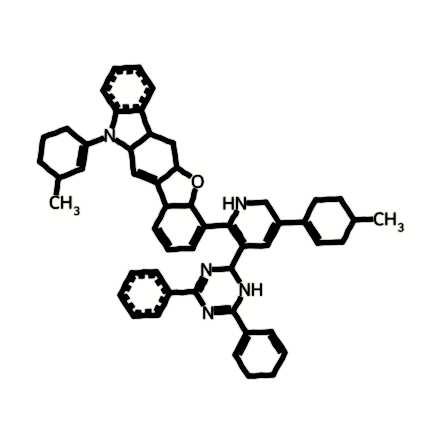 CC1C=C(N2c3ccccc3C3CC4OC5C(C6=C(C7N=C(c8ccccc8)N=C(C8=CCCC=C8)N7)C=C(C7=CCC(C)CC7)CN6)=CC=CC5C4=CC32)CCC1